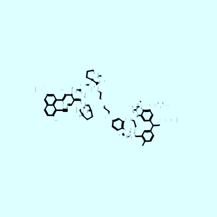 C#Cc1c(F)ccc2cc(O)cc(-c3ncc4c(N5C[C@H]6CC[C@@H](C5)N6)nc(OC[C@@]5(C(=O)NCCOCCOc6ccc7c(c6)O[C@H](C)CN(Cc6cc(C(CC(=O)O)c8cc(OC)c9c(c8)nnn9C)ccc6C)S7(=O)=O)CCCN5C)nc4c3F)c12